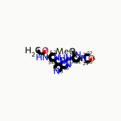 C=CC(=O)Nc1ccnc(-c2cncc3cnc(Nc4ccc(N5CCOCC5)nc4OC)nc23)c1